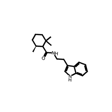 C[C@H]1CCCC(C)(C)C1C(=O)NCCc1c[nH]c2ccccc12